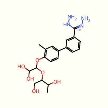 Cc1cc(-c2cccc(/C(=N/N)NN)c2)ccc1OC(OC(CO)C(C)O)C(O)O